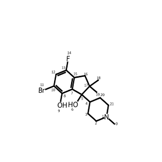 CN1CCC(C2(O)c3c(O)c(Br)cc(F)c3CC2(C)C)CC1